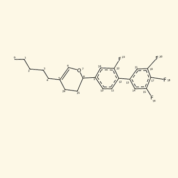 CCCCCC1=COC(c2ccc(-c3cc(F)c(F)c(F)c3)c(F)c2)CC1